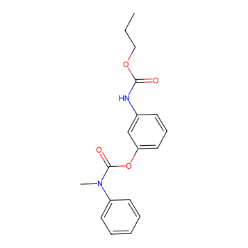 CCCOC(=O)Nc1cccc(OC(=O)N(C)c2ccccc2)c1